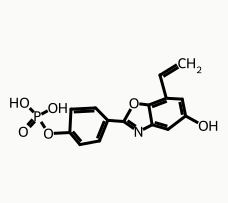 C=Cc1cc(O)cc2nc(-c3ccc(OP(=O)(O)O)cc3)oc12